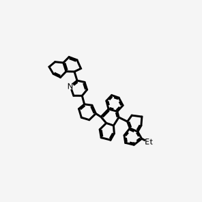 CCc1cccc2c1=CCCC=2C1=c2ccccc2=C(C2=CC(C3C=CC(C4CC=CC5=C4C=CCC5)=NC3)=CCC2)C2C=CC=CC12